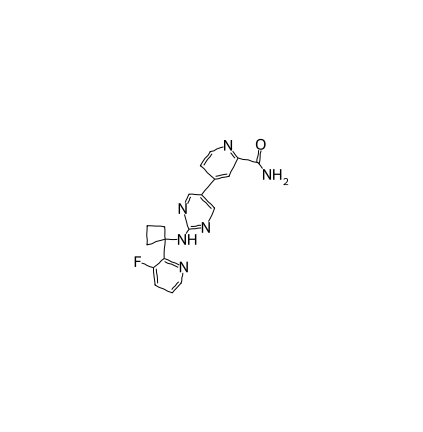 NC(=O)c1cc(-c2cnc(NC3(c4ncccc4F)CCC3)nc2)ccn1